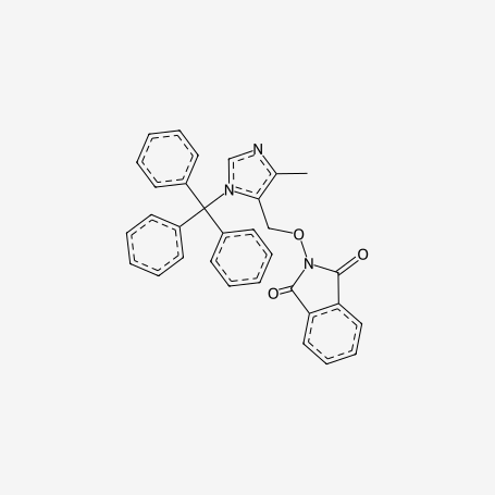 Cc1ncn(C(c2ccccc2)(c2ccccc2)c2ccccc2)c1CON1C(=O)c2ccccc2C1=O